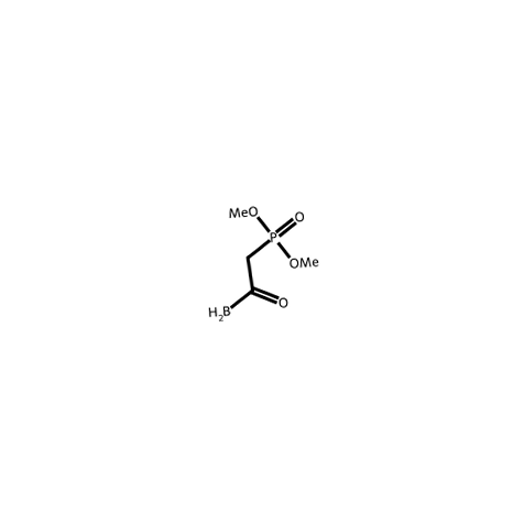 BC(=O)CP(=O)(OC)OC